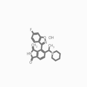 C=C1NC(=O)c2ccc(C(C)N3CCCCC3)c(-c3noc4cc(F)ccc34)c21.Cl